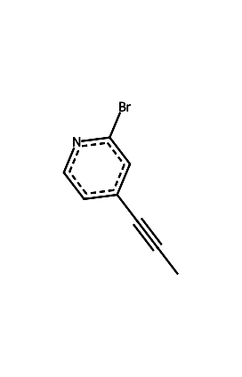 CC#Cc1ccnc(Br)c1